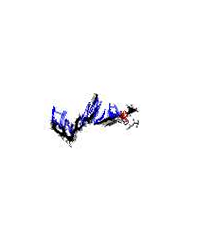 Cc1nc(NC[C@H](NC(=O)OCC2CC2)C(=O)O)c(C)c(N2CCC(c3ccc4c(n3)NCCC4)CC2)n1